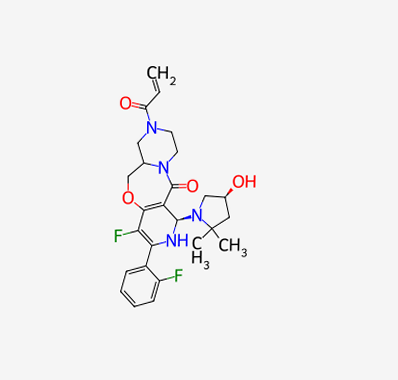 C=CC(=O)N1CCN2C(=O)C3=C(OCC2C1)C(F)=C(c1ccccc1F)N[C@@H]3N1C[C@@H](O)CC1(C)C